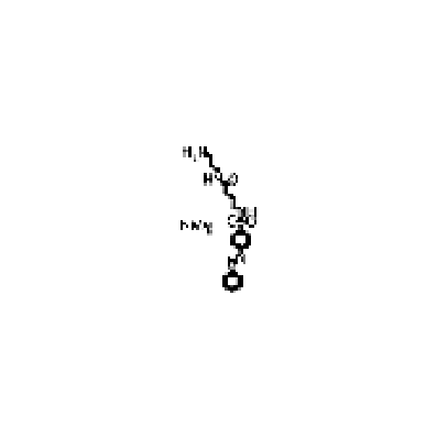 CNC.NCCCNC(=O)CCCNS(=O)(=O)c1ccc(N=Nc2ccccc2)cc1